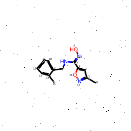 Cc1cc(/C(=N/O)NCc2ccccc2C)on1